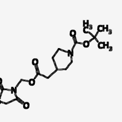 CC(C)(C)OC(=O)N1CCC(CC(=O)OCN2C(=O)CSC2=O)CC1